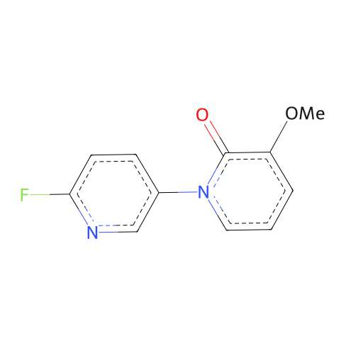 COc1cccn(-c2ccc(F)nc2)c1=O